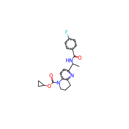 CC(NC(=O)c1ccc(F)cc1)c1ccc2c(n1)CCCN2C(=O)OC1CC1